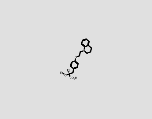 CCO[C@@](CC)(Cc1ccc(OCCN2CCCc3ccccc32)cc1)C(=O)O